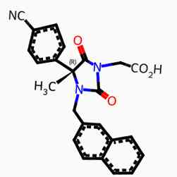 C[C@@]1(c2ccc(C#N)cc2)C(=O)N(CC(=O)O)C(=O)N1Cc1ccc2ccccc2c1